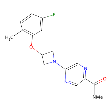 CNC(=O)c1cnc(N2CC(Oc3cc(F)ccc3C)C2)cn1